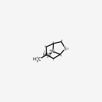 CC1CC2CSC(C1)N2C